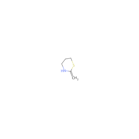 C=C1NCCCS1